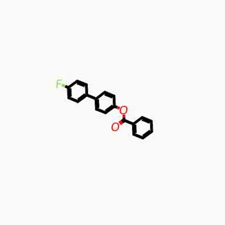 O=C(Oc1ccc(-c2ccc(F)cc2)cc1)c1ccccc1